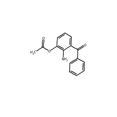 CC(=O)Oc1cccc(C(=O)c2ccccc2)c1N